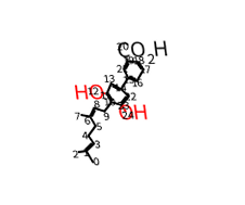 CC(C)=CCCC(C)=CCc1c(O)cc(-c2cccc(C(=O)O)c2)cc1O